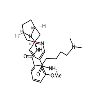 COc1cccc(C(=O)N[C@H]2C[C@H]3CC[C@@H](C2)N3c2ccc(C(N)=O)cn2)c1CCCCN(C)C